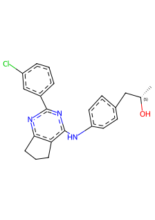 C[C@H](O)Cc1ccc(Nc2nc(-c3cccc(Cl)c3)nc3c2CCC3)cc1